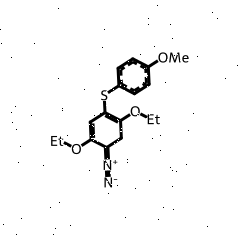 CCOC1=CC(Sc2ccc(OC)cc2)=C(OCC)CC1=[N+]=[N-]